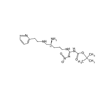 CC(C)(C)OC(=O)NC(=N[N+](=O)[O-])NCCC[C@H](N)CNCCc1ccccn1